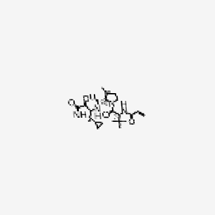 C=CC(=O)N[C@H](C(=O)N1CC[C@H](C)[C@H]1C(=O)NC(CC1CC1)C(=O)C(N)=O)C(C)(C)C